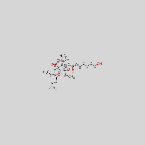 CCCC1OC1(CC)CC(CCCC(=O)OCCCCCO)(CC1(CC)OC1CCC)C(=O)O